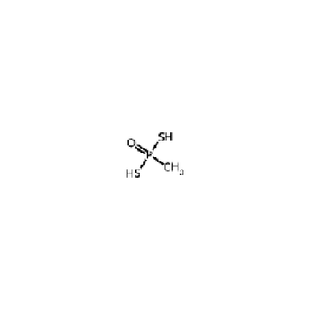 CP(=O)(S)S